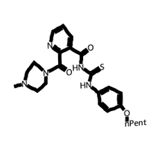 CCCCCOc1ccc(NC(=S)NC(=O)c2cccnc2C(=O)N2CCN(C)CC2)cc1